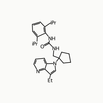 CCc1cn(C2(CNC(=O)Nc3c(C(C)C)cccc3C(C)C)CCCC2)c2cccnc12